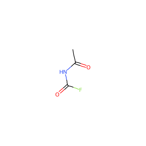 CC(=O)NC(=O)F